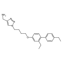 CCc1ccc(-c2ccc(OCCCCn3cc(CN)nn3)cc2CC)cc1